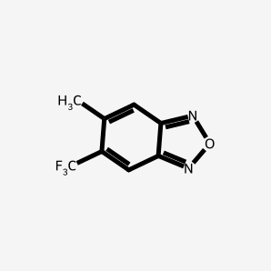 Cc1cc2nonc2cc1C(F)(F)F